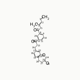 C=C/C=C(\C)CC(=O)c1cccc(C(=O)CCc2ccc3c(c2)OCC(=O)CC3)c1